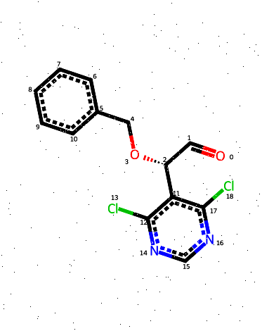 O=C[C@@H](OCc1ccccc1)c1c(Cl)ncnc1Cl